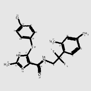 Cc1ccc(C(F)(F)CNC(=O)c2nc(C)[nH]c2Sc2ccc(Cl)cc2)c(C)c1